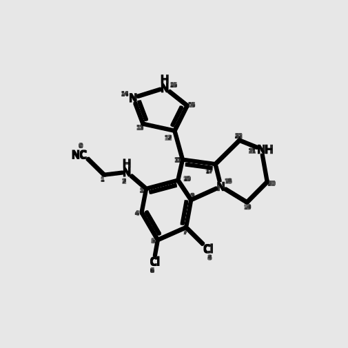 N#CCNc1cc(Cl)c(Cl)c2c1c(-c1cn[nH]c1)c1n2CCNC1